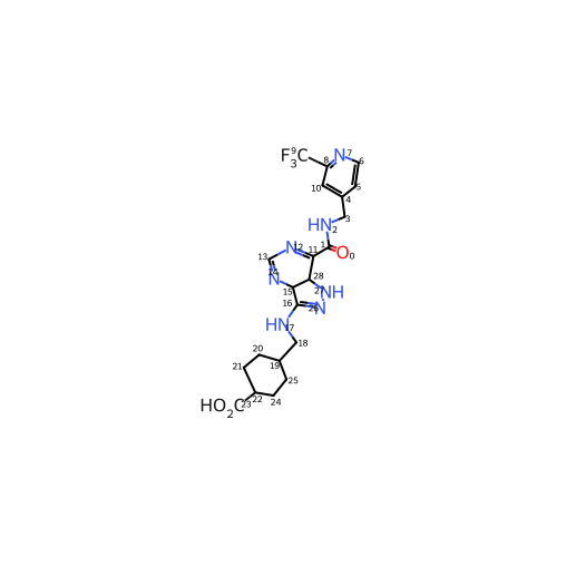 O=C(NCc1ccnc(C(F)(F)F)c1)C1=NC=NC2C(NCC3CCC(C(=O)O)CC3)=NNC12